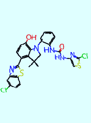 CC1(C)CN(c2ccccc2NC(=O)Nc2csc(Cl)n2)c2c(O)ccc(-c3nc4cc(Cl)ccc4s3)c21